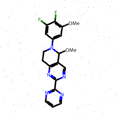 COc1cc(N2CCc3nc(-c4ncccn4)ncc3C2OC)cc(F)c1F